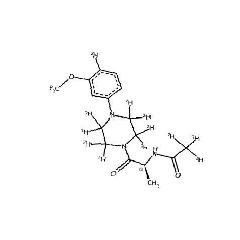 [2H]c1ccc(N2C([2H])([2H])C([2H])([2H])N(C(=O)[C@H](C)NC(=O)C([2H])([2H])[2H])C([2H])([2H])C2([2H])[2H])cc1OC(F)(F)F